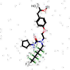 CCOC(Cc1ccc(OCCN(CC(F)(F)C(F)(F)C(F)(F)C(F)(F)C(F)(F)F)C(=O)NC2CCCC2)cc1)C(=O)O